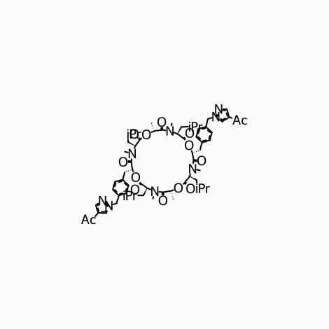 CC(=O)c1cnn(Cc2ccc(C[C@H]3OC(=O)[C@H](CC(C)C)N(C)C(=O)[C@@H](C)OC(=O)[C@H](CC(C)C)N(C)C(=O)[C@@H](Cc4ccc(Cn5cc(C(C)=O)cn5)cc4)OC(=O)[C@H](CC(C)C)N(C)C(=O)[C@@H](C)OC(=O)[C@H](CC(C)C)N(C)C3=O)cc2)c1